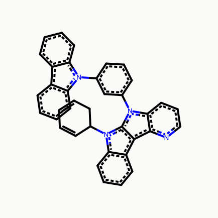 C1=CCC(n2c3ccccc3c3c4ncccc4n(-c4cccc(-n5c6ccccc6c6ccccc65)c4)c32)C=C1